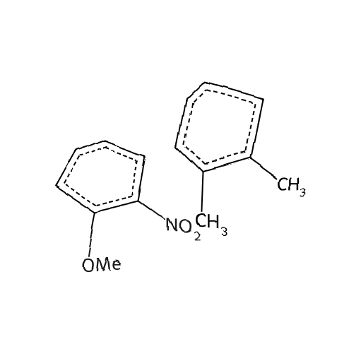 COc1ccccc1[N+](=O)[O-].Cc1ccccc1C